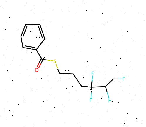 O=C(SCCCC(F)(F)C(F)CF)c1ccccc1